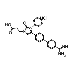 Cl.N=C(N)c1ccc(-c2ccc(-c3cn(CCC(=O)O)c(=O)n3-c3ccccc3)cc2)cc1